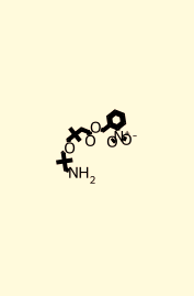 CC(C)(CN)COCC(C)(C)CC(=O)OCc1ccccc1[N+](=O)[O-]